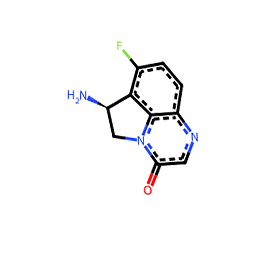 N[C@@H]1Cn2c(=O)cnc3ccc(F)c1c32